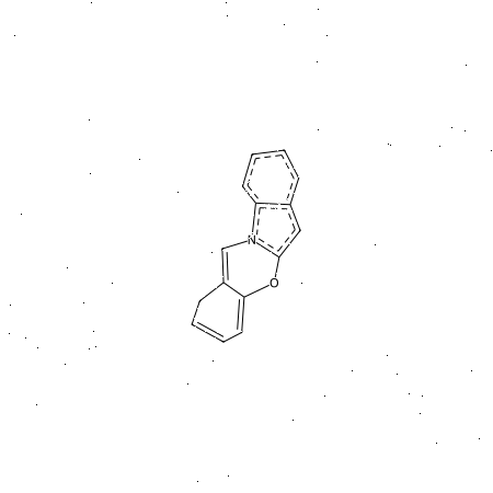 C1=CCC2=Cn3c(cc4ccccc43)OC2=C1